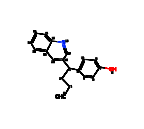 O=CCCC(c1ccc(O)cc1)c1cnc2ccccc2c1